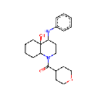 O=C(C1CCOCC1)N1CCC(Nc2ccccc2)[C@@]2(O)CCCCC12